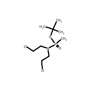 CC(C)(C)OP(C)(=O)N(CCCl)CCCl